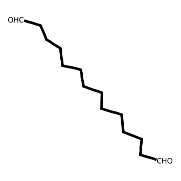 O=CCCCCCCCCCCCCC=O